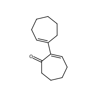 O=C1CCCCC=C1C1=CCCCCC1